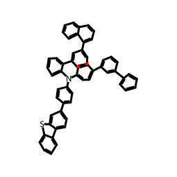 c1ccc(-c2cccc(-c3ccc(N(c4ccc(-c5ccc6c(c5)sc5ccccc56)cc4)c4ccccc4-c4cccc(-c5cccc6ccccc56)c4)cc3)c2)cc1